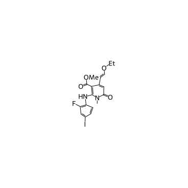 CCOC=Cc1cc(=O)n(C)c(Nc2ccc(I)cc2F)c1C(=O)OC